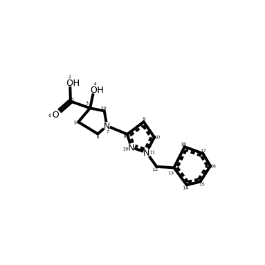 O=C(O)C1(O)CCN(c2ccn(Cc3ccccc3)n2)C1